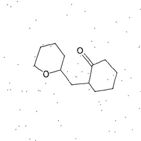 O=C1CCCCC1CC1CCCCO1